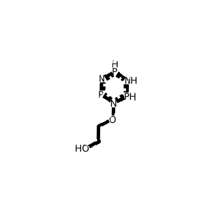 OCCOn1pn[pH][nH][pH]1